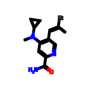 CC/C(C)=C/c1cnc(C(N)=O)cc1N(C)C1CC1